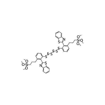 CO[Si](CCCc1cccc(SSSSSSc2cccc(CCC[Si](OC)(OC)OC)c2-c2nc3ccccc3s2)c1-c1nc2ccccc2s1)(OC)OC